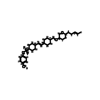 C/C=C/CCC1CCC(OCC2CCC(/C=C/C3CCC(C(F)(F)Oc4ccc(C(F)(F)F)cc4)CC3)CC2)CO1